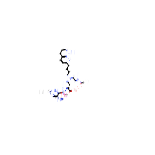 CC(=O)NCCN(CCCCc1ccc2c(n1)NCCC2)CC[C@H](Nc1ncnc2cn(C)nc12)C(=O)O